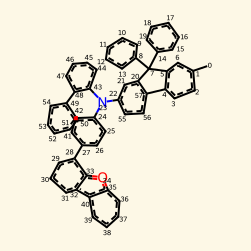 Cc1ccc2c(c1)C(c1ccccc1)(c1ccccc1)c1cc(N(c3ccc(-c4cccc5c4oc4ccccc45)cc3)c3ccccc3-c3ccccc3)ccc1-2